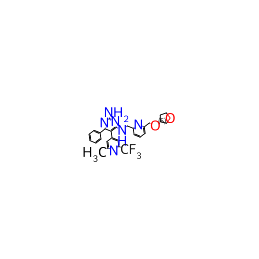 Cc1cc(-c2c(NCc3cccc(CO[C@H]4CCOC4)n3)nc(N)nc2-c2ccccc2)cc(C(F)(F)F)n1